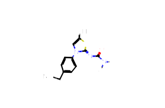 Cc1cn(-c2ccc(CC#N)cc2)c(=NC(=O)N(C)C)s1